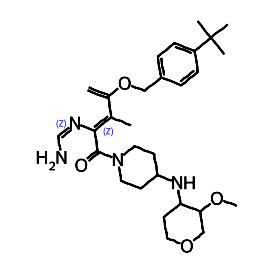 C=C(OCc1ccc(C(C)(C)C)cc1)/C(C)=C(\N=C/N)C(=O)N1CCC(NC2CCOCC2OC)CC1